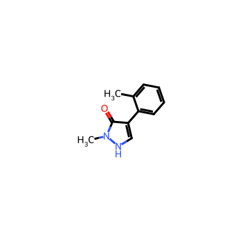 Cc1ccccc1-c1c[nH]n(C)c1=O